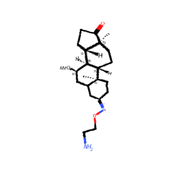 CO[C@@H]1CC2C/C(=N\OCCN)CC[C@]2(C)[C@H]2CC[C@]3(C)C(=O)CC[C@H]3[C@H]12